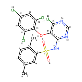 Cc1ccc(C)c(S(=O)(=O)Nc2ncnc(Cl)c2Oc2c(Cl)cc(Cl)cc2Cl)c1